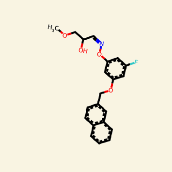 COCC(O)/C=N\Oc1cc(F)cc(OCc2ccc3ccccc3c2)c1